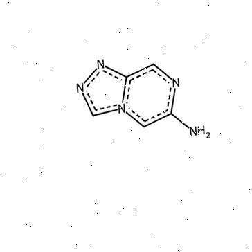 Nc1cn2cnnc2cn1